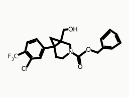 O=C(OCc1ccccc1)N1CCC2(c3ccc(C(F)(F)F)c(Cl)c3)CC2(CO)C1